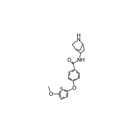 COc1ccc(Oc2ccc(C(=O)NC3CC4CC3CN4)cc2)s1